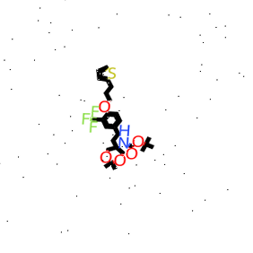 CC(C)(C)OC(=O)NC1(CCc2ccc(OCCCc3cccs3)c(C(F)(F)F)c2)COC(C)(C)OC1